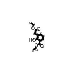 CCOC(=O)Cc1cccc(C(=O)OCC)c1O